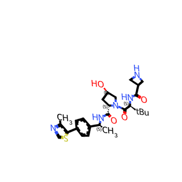 Cc1ncsc1-c1ccc([C@H](C)NC(=O)[C@@H]2C[C@@H](O)CN2C(=O)[C@@H](NC(=O)C2CNC2)C(C)(C)C)cc1